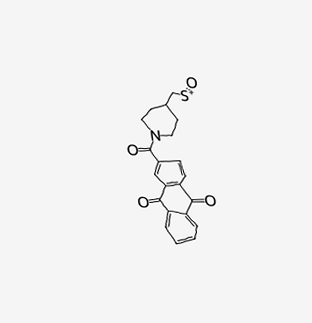 O=[S+]CC1CCN(C(=O)c2ccc3c(c2)C(=O)c2ccccc2C3=O)CC1